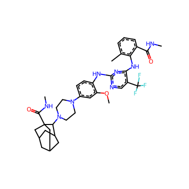 CNC(=O)c1cccc(C)c1Nc1nc(Nc2ccc(N3CCN(C4C5CC6CC(C5)CC4(C(=O)NC)C6)CC3)cc2OC)ncc1C(F)(F)F